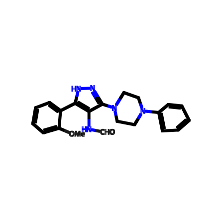 COc1ccccc1-c1[nH]nc(N2CCN(c3ccccc3)CC2)c1NC=O